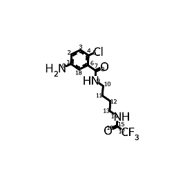 Nc1ccc(Cl)c(C(=O)NCCCCNC(=O)C(F)(F)F)c1